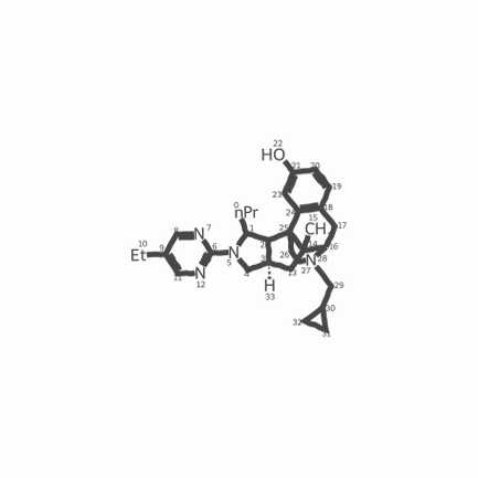 CCCC1C2[C@H](CN1c1ncc(CC)cn1)CC1(C)C3Cc4ccc(O)cc4C21CCN3CC1CC1